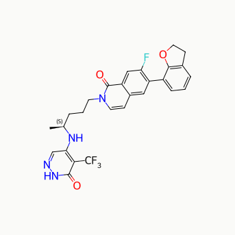 C[C@@H](CCCn1ccc2cc(-c3cccc4c3OCC4)c(F)cc2c1=O)Nc1cn[nH]c(=O)c1C(F)(F)F